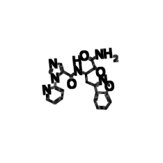 NC(=O)C(=O)C(Cc1noc2ccccc12)NC(=O)c1cncn1-c1ccccn1